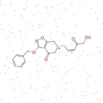 O=C(/C=C\C[C@@H]1CC(=O)c2c(OCc3ccccc3)noc2C1)CO